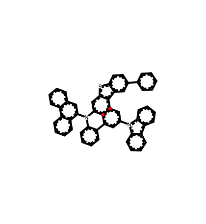 c1ccc(-c2ccc3sc4cc(N(c5ccccc5-c5cccc(-n6c7ccccc7c7ccccc76)c5)c5cc6ccccc6c6ccccc56)ccc4c3c2)cc1